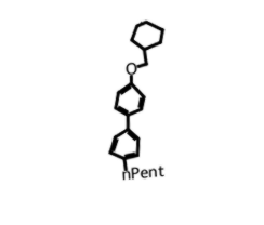 CCCCCc1ccc(-c2ccc(OCC3CC[CH]CC3)cc2)cc1